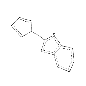 C1=CC(c2cc3ccccc3s2)C=C1